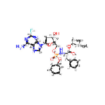 CCCCCCCC(CCCCCCC)OC(=O)[C@H](Cc1ccccc1)NP(=O)(OC[C@@]1(C)O[C@@H](n2cnc3c(N)nc(F)nc32)C[C@@H]1O)Oc1ccccc1